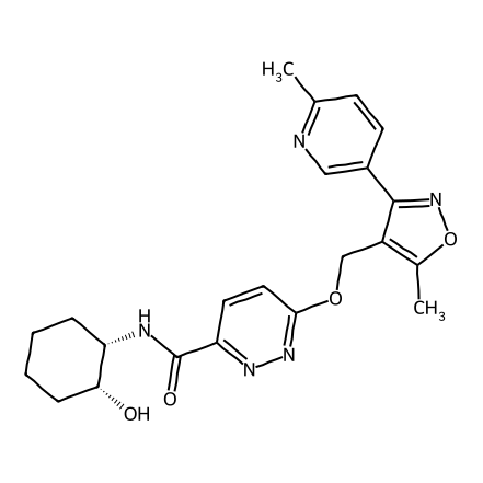 Cc1ccc(-c2noc(C)c2COc2ccc(C(=O)N[C@H]3CCCC[C@H]3O)nn2)cn1